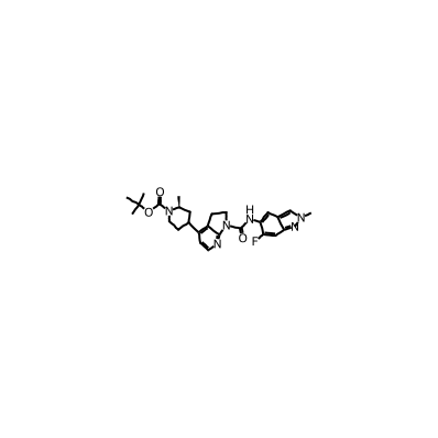 C[C@H]1CC(c2ccnc3c2CCN3C(=O)Nc2cc3cn(C)nc3cc2F)CCN1C(=O)OC(C)(C)C